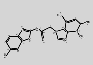 CC1=CC(O)N(C)c2ncn(CC(=O)Nc3nc4ccc(Cl)cc4o3)c21